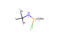 COP(Cl)NC(C)(C(C)C)C(C)C